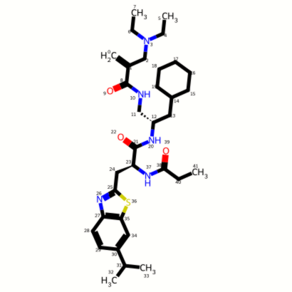 C=C(CN(CC)CC)C(=O)NC[C@H](CC1CCCCC1)NC(=O)[C@H](Cc1nc2ccc(C(C)C)cc2s1)NC(=O)CC